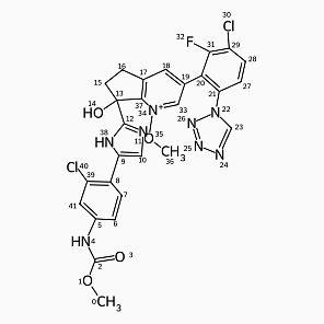 COC(=O)Nc1ccc(-c2cnc(C3(O)CCc4cc(-c5c(-n6cnnn6)ccc(Cl)c5F)c[n+](OC)c43)[nH]2)c(Cl)c1